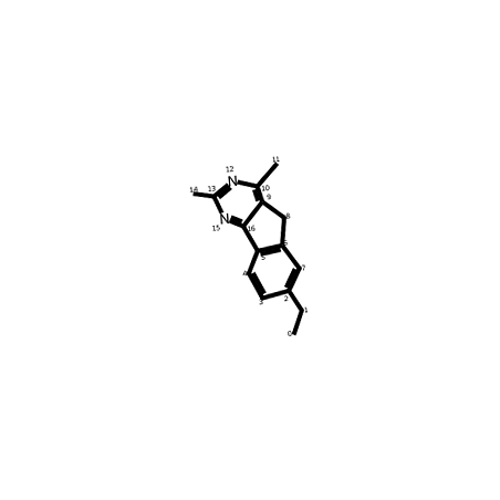 CCc1ccc2c(c1)Cc1c(C)nc(C)nc1-2